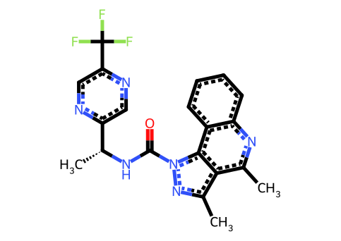 Cc1nc2ccccc2c2c1c(C)nn2C(=O)N[C@H](C)c1cnc(C(F)(F)F)cn1